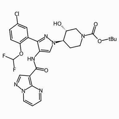 CC(C)(C)OC(=O)N1CC[C@@H](n2cc(NC(=O)c3cnn4cccnc34)c(-c3cc(Cl)ccc3OC(F)F)n2)[C@H](O)C1